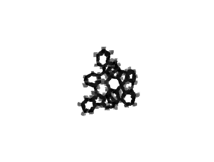 c1cc(-c2nc(-c3cccc4c3C3(c5ccccc5Sc5ccccc53)c3ccccc3-4)nc3ccccc23)cc(-n2c3ccccc3c3ccccc32)c1